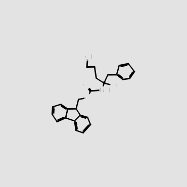 O=C(NC(CCCO)(Cc1ccccc1)C(=O)O)OCC1c2ccccc2-c2ccccc21